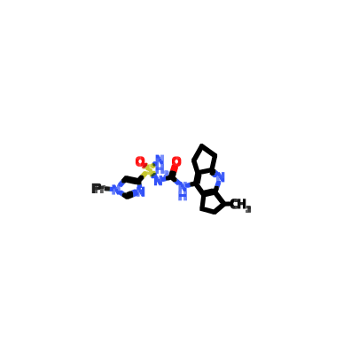 CC1CCc2c1nc1c(c2NC(=O)N=S(N)(=O)c2cn(C(C)C)cn2)CCC1